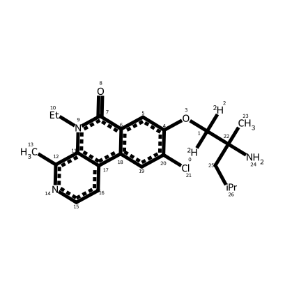 [2H]C([2H])(Oc1cc2c(=O)n(CC)c3c(C)nccc3c2cc1Cl)C(C)(N)CC(C)C